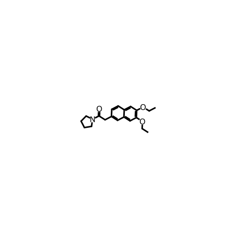 CCOc1cc2ccc(CC(=O)N3CCCC3)cc2cc1OCC